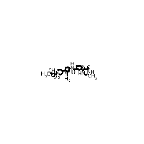 C[C@@H]1CNc2c(sc3ccc(C(=O)Nc4ccc(C5CCN(C(=O)OC(C)(C)C)CC5)c(N)c4)cc23)C(=O)N1